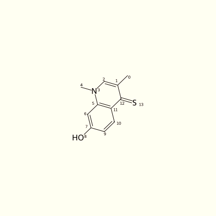 Cc1cn(C)c2cc(O)ccc2c1=S